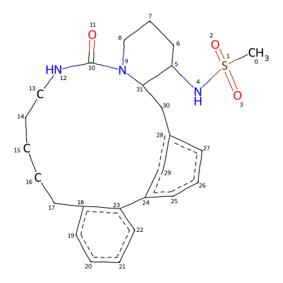 CS(=O)(=O)NC1CCCN2C(=O)NCCCCCc3ccccc3-c3cccc(c3)CC12